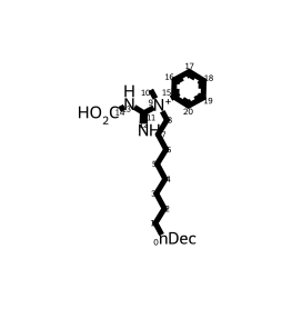 CCCCCCCCCCCCCCCCCC[N+](C)(C(=N)NC(=O)O)c1ccccc1